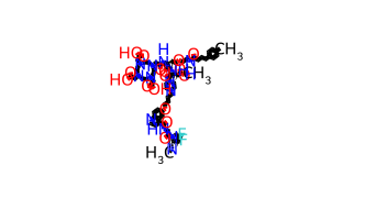 C/N=C/[C@H]1CC(F)(F)CN1C(=O)CNC(=O)c1ccnc2ccc(OCCCCN3CCN(C(=O)[C@H](CC(=O)OC)NC(=O)[C@H](CCOCCNC(=O)CCCc4ccc(C)cc4)NC(=O)CN4CCN(CC(=O)O)CCN(CC(=O)O)CCN(CC(=O)O)CC4)CC3)cc12